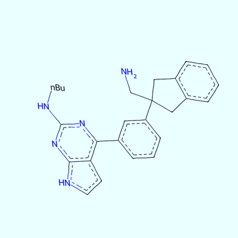 CCCCNc1nc(-c2cccc(C3(CN)Cc4ccccc4C3)c2)c2cc[nH]c2n1